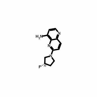 Nc1ccnc2ccc(N3CC[C@H](F)C3)nc12